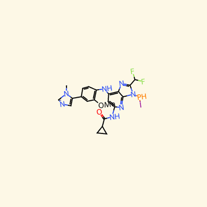 COc1cc(-c2cncn2C)ccc1Nc1cc(NC(=O)C2CC2)nc2c1nc(C(F)F)n2PI